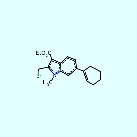 CCOC(=O)c1c(CBr)n(C)c2cc(C3=CCCCC3)ccc12